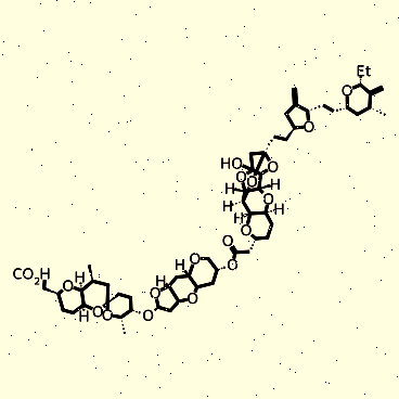 C=C1C[C@H](CC[C@@]23CC4(O)O[C@H]5[C@@H](O2)[C@H]2O[C@@H](CC(=O)O[C@H]6CO[C@H]7C[C@H]8O[C@@H](O[C@H]9CC[C@@]%10(C[C@H](C)[C@@H]%11O[C@H](CC(=O)O)CC[C@@H]%11O%10)O[C@H]9C)CC8OC7C6)CC[C@@H]2O[C@H]5C4O3)O[C@H]1CC[C@H]1C[C@@H](C)C(=C)[C@@H](CC)O1